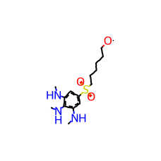 CNc1cc(S(=O)(=O)CCCCCC[O])cc(NC)c1NC